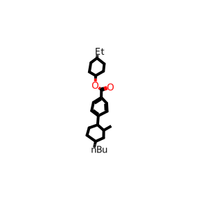 CCCCC1CCC(c2ccc(C(=O)OC3CCC(CC)CC3)cc2)C(C)C1